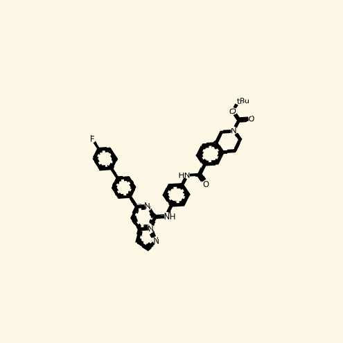 CC(C)(C)OC(=O)N1CCc2cc(C(=O)Nc3ccc(Nc4nc(-c5ccc(-c6ccc(F)cc6)cc5)cc5ccnn45)cc3)ccc2C1